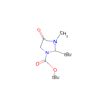 CN1C(=O)CN(C(=O)OC(C)(C)C)C1C(C)(C)C